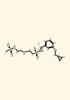 C[C@@H](NS(=O)(=O)CCOCCOS(C)(=O)=O)c1cccc(OCC2CC2)c1